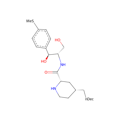 CCCCCCCCCCC[C@@H]1CCN[C@H](C(=O)N[C@@H](CO)[C@@H](O)c2ccc(SC)cc2)C1